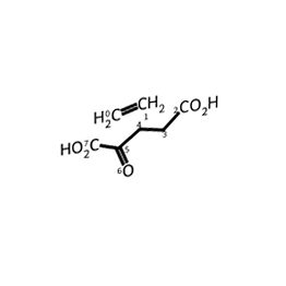 C=C.O=C(O)CCC(=O)C(=O)O